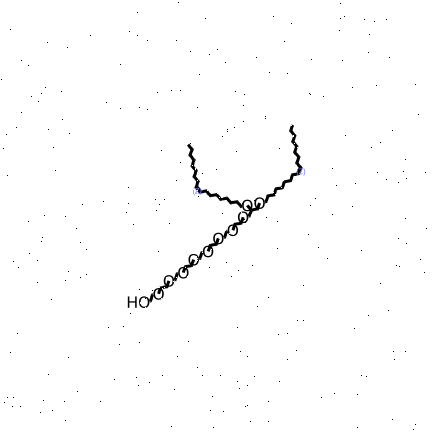 CCCCCCCC/C=C\CCCCCCCCOCC(COCCOCCOCCOCCOCCOCCOCCOCCO)OCCCCCCCC/C=C\CCCCCCCC